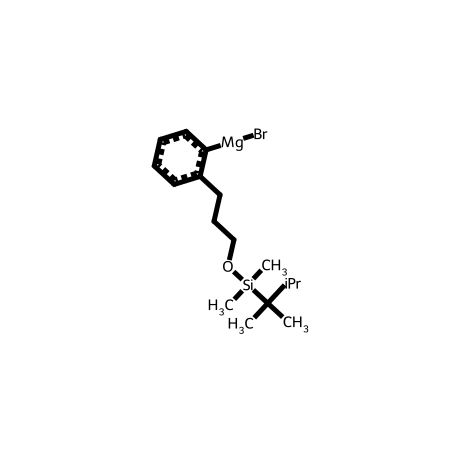 CC(C)C(C)(C)[Si](C)(C)OCCCc1cccc[c]1[Mg][Br]